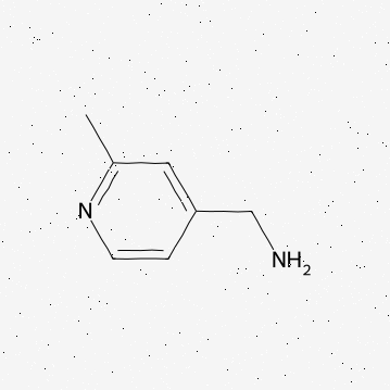 Cc1cc(CN)ccn1